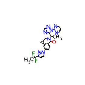 CC(c1ncnn1-c1ncccn1)N(CC1CC1)C(=O)c1ccc(-n2ccc(C(C)(F)F)n2)cc1